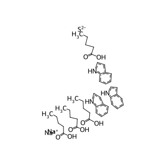 CCCCC(=O)O.CCCCC(=O)O.CCCCC(=O)O.CCCCC(=O)O.[Na+].[Na+].[S-2].c1ccc2[nH]ccc2c1.c1ccc2[nH]ccc2c1.c1ccc2[nH]ccc2c1